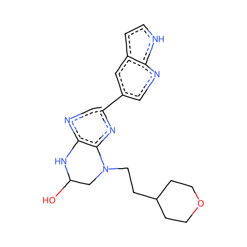 OC1CN(CCC2CCOCC2)c2nc(-c3cnc4[nH]ccc4c3)cnc2N1